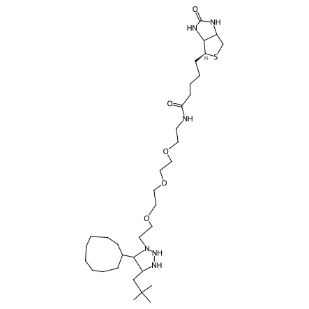 CC(C)(C)CC1NNN(CCOCCOCCOCCNC(=O)CCCC[C@@H]2SCC3NC(=O)NC32)C1C1CCCCCCCC1